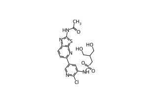 CC(=O)Nc1nc2ccc(-c3cnc(Cl)c(NS(=O)(=O)CC(CO)CO)c3)nc2s1